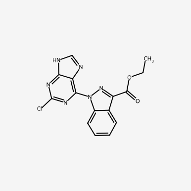 CCOC(=O)c1nn(-c2nc(Cl)nc3[nH]cnc23)c2ccccc12